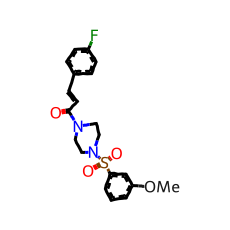 COc1cccc(S(=O)(=O)N2CCN(C(=O)C=Cc3ccc(F)cc3)CC2)c1